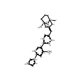 C[C@@]12CCC[C@@H](C/C(=C\c3cnc(-c4cnc(-n5ccnc5)cc4O)nn3)C1)N2